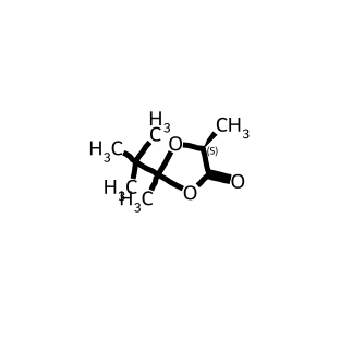 C[C@@H]1OC(C)(C(C)(C)C)OC1=O